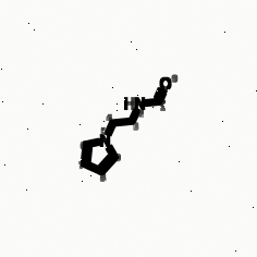 O=[C]NCCn1cccc1